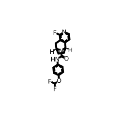 O=C(Nc1ccc(OC(F)F)cc1)N1[C@@H]2CC[C@H]1c1ccnc(F)c1C2